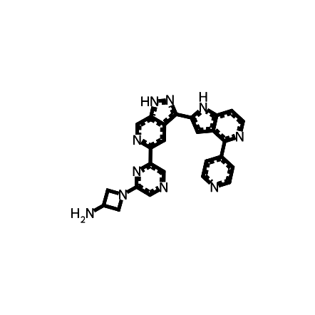 NC1CN(c2cncc(-c3cc4c(-c5cc6c(-c7ccncc7)nccc6[nH]5)n[nH]c4cn3)n2)C1